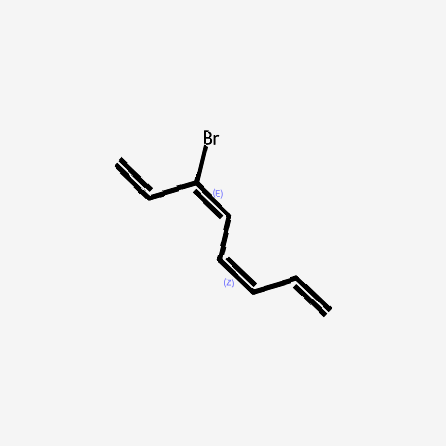 C=C/C=C\C=C(\Br)C=C